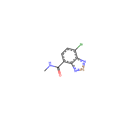 CNC(=O)c1ccc(Br)c2nsnc12